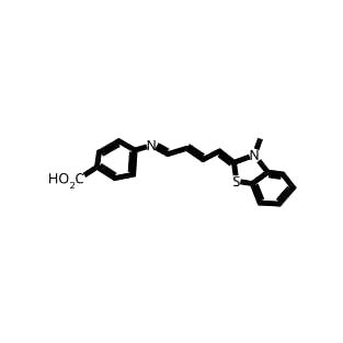 CN1/C(=C/C=C/C=N/c2ccc(C(=O)O)cc2)Sc2ccccc21